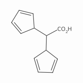 O=C(O)C(C1C=CC=C1)C1C=CC=C1